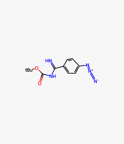 CC(C)(C)OC(=O)NC(=N)c1ccc(N=[N+]=[N-])cc1